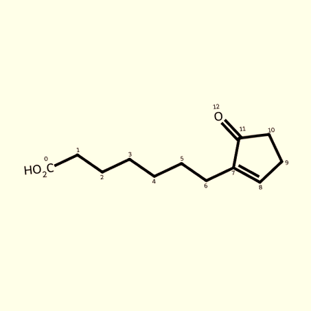 O=C(O)CCCCCCC1=CCCC1=O